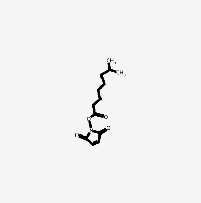 CC(C)CCCCCC(=O)ON1C(=O)C=CC1=O